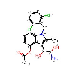 CC(=O)Oc1cccc2c1c(C(O)C(N)O)c(C)n2Cc1c(Cl)cccc1Cl